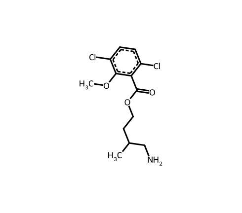 COc1c(Cl)ccc(Cl)c1C(=O)OCCC(C)CN